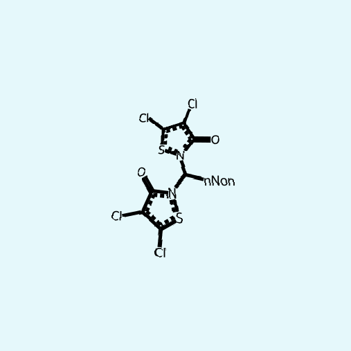 CCCCCCCCCC(n1sc(Cl)c(Cl)c1=O)n1sc(Cl)c(Cl)c1=O